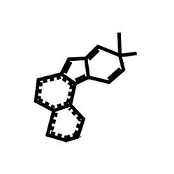 CC1(C)C=CC2=c3c(ccc4cc[c]cc34)=CC2=C1